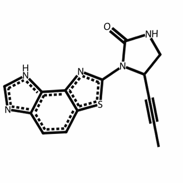 CC#CC1CNC(=O)N1c1nc2c(ccc3nc[nH]c32)s1